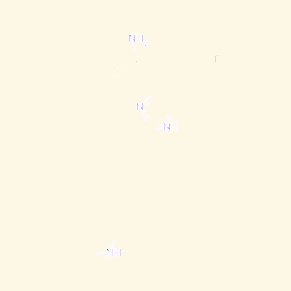 NC(=O)c1cc(F)cc2[nH]c(-c3ccc(C4CCCNC4)cc3)nc12